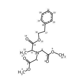 COC(=O)CN(CC(=O)OC)C(C)C(=O)OCCc1ccccc1